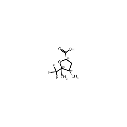 C[C@H]1C[C@H](C(=O)O)O[C@@]1(C)C(F)(F)F